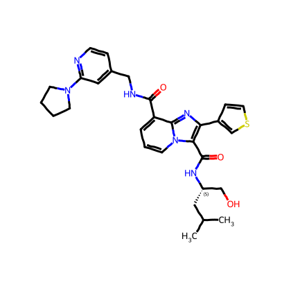 CC(C)C[C@@H](CO)NC(=O)c1c(-c2ccsc2)nc2c(C(=O)NCc3ccnc(N4CCCC4)c3)cccn12